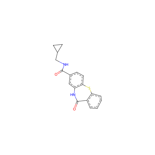 O=C(NCC1CC1)c1ccc2c(c1)NC(=O)c1ccccc1S2